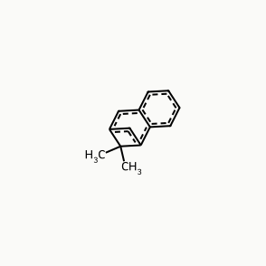 CC1(C)c2cc1c1ccccc1c2